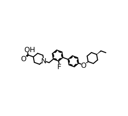 CC[C@H]1CC[C@@H](Oc2ccc(-c3cccc(CN4CCC(C(=O)O)CC4)c3F)cc2)CC1